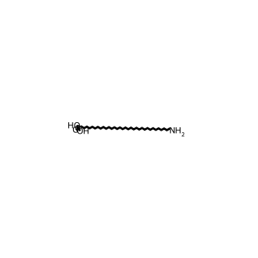 NCCCCCCCCCCCCCCCCCCCCCCCCCCCCCCCCCP(=O)(O)O